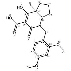 COc1ccc(CN2C(=O)C(C(=O)O)=C(O)[C@@]3(C)CCCN23)c(OC)c1